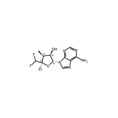 CC[C@@]1(C(F)F)O[C@@H](n2cnc3c(N)ncnc32)[C@H](O)[C@@H]1C